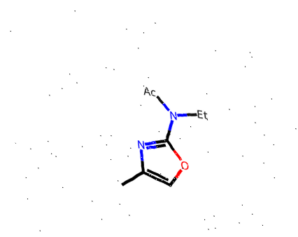 CCN(C(C)=O)c1nc(C)co1